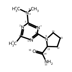 Cc1nc(N(C)C)nc(N2CCCC2C(N)=O)n1